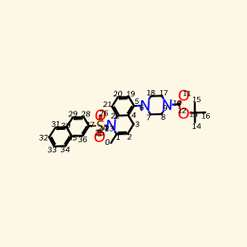 CC1=CCc2c(N3CCN(C(=O)OC(C)(C)C)CC3)cccc2N1S(=O)(=O)c1ccc2ccccc2c1